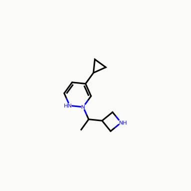 CC(C1CNC1)N1C=C(C2CC2)C=CN1